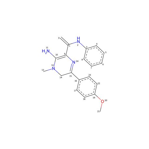 C=C(Nc1ccccc1)C1=C(N)N(C)CC(c2ccc(OC)cc2)=N1